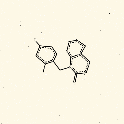 O=c1ccc2cncnc2n1Cc1ccc(F)cc1F